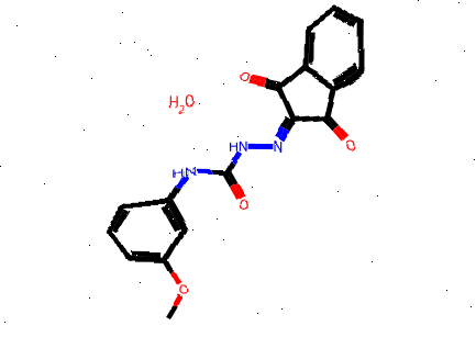 COc1cccc(NC(=O)NN=c2c(=O)c3ccccc3c2=O)c1.O